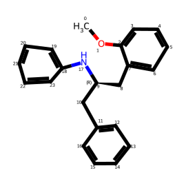 COc1ccccc1C[C@@H](Cc1ccccc1)Nc1ccccc1